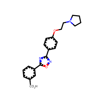 O=C(O)c1cccc(-c2nc(-c3ccc(OCCN4CCCC4)cc3)no2)c1